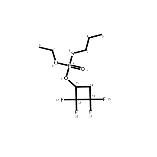 CCCSP(=O)(OCC)OC1CC(F)(F)C1(F)F